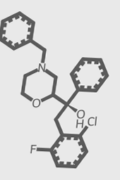 O[C@](Cc1c(F)cccc1Cl)(c1ccccc1)C1CN(Cc2ccccc2)CCO1